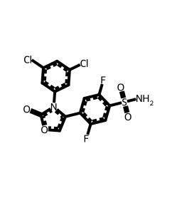 NS(=O)(=O)c1cc(F)c(-c2coc(=O)n2-c2cc(Cl)cc(Cl)c2)cc1F